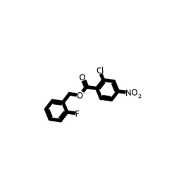 O=C(OCc1ccccc1F)c1ccc([N+](=O)[O-])cc1Cl